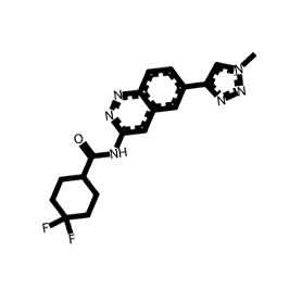 Cn1cc(-c2ccc3nnc(NC(=O)C4CCC(F)(F)CC4)cc3c2)nn1